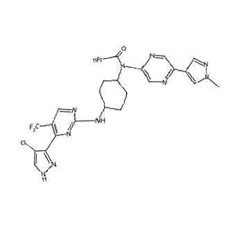 CCCC(=O)N(c1cnc(-c2cnn(C)c2)cn1)C1CCC(Nc2ncc(C(F)(F)F)c(-c3n[nH]cc3Cl)n2)CC1